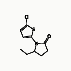 CCC1CCC(=O)N1c1ccc(Cl)s1